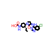 CCC[C@@H]1CC(NC(=O)O)CC[C@@H]1N1CCC(Nc2ncnc3ccc(Cl)cc23)C1=O